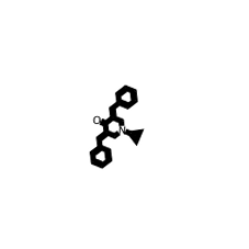 O=C1/C(=C/c2ccccc2)CN(C2CC2)C/C1=C\c1ccccc1